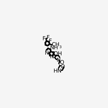 C[C@@H](Nc1ccnc2cnc(C3(O)CCN(C(=O)C[C@H]4CNCCO4)CC3)cc12)c1cccc(C(F)F)c1F